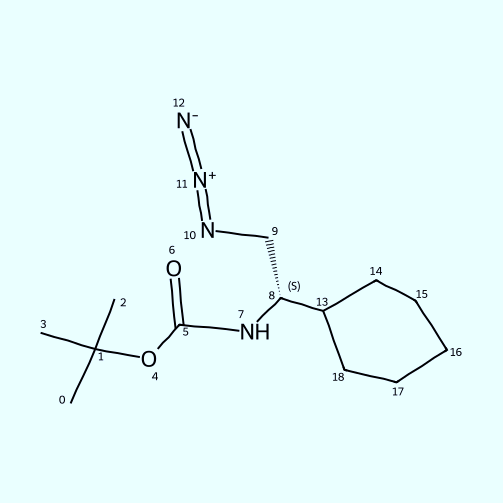 CC(C)(C)OC(=O)N[C@H](CN=[N+]=[N-])C1CCCCC1